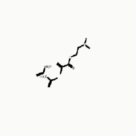 C=C(C)C(=O)O.C=C(C)C(=O)OCCN(C)C.C=CC(=O)O